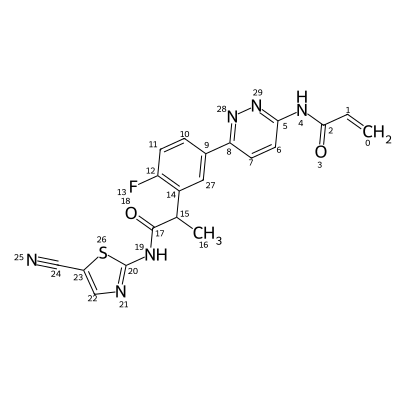 C=CC(=O)Nc1ccc(-c2ccc(F)c(C(C)C(=O)Nc3ncc(C#N)s3)c2)nn1